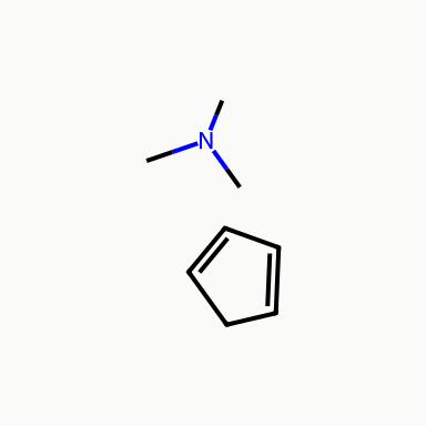 C1=CCC=C1.CN(C)C